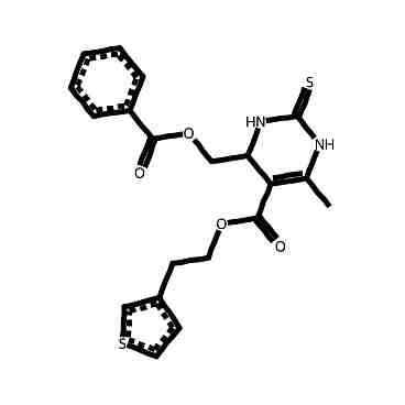 CC1=C(C(=O)OCCc2ccsc2)C(COC(=O)c2ccccc2)NC(=S)N1